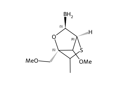 B[C@@H]1O[C@]2(COC)C(C)S[C@H]1C2OC